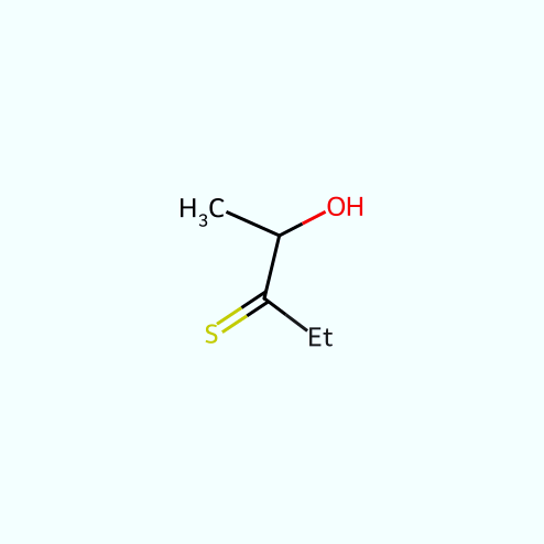 CCC(=S)C(C)O